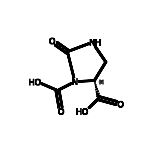 O=C(O)[C@H]1CNC(=O)N1C(=O)O